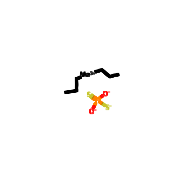 CC[CH2][Mo+3][CH2]CC.[O-]P([O-])(=S)[S-]